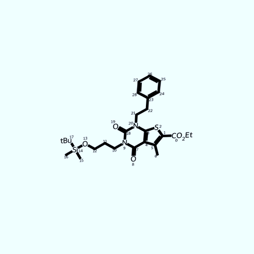 CCOC(=O)c1sc2c(c1C)c(=O)n(CCCO[Si](C)(C)C(C)(C)C)c(=O)n2CCc1ccccc1